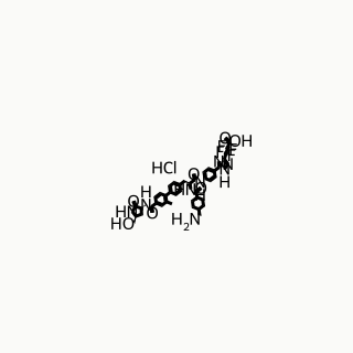 Cc1cc(C(=O)N[C@@H]2C[C@@H](CO)NC2=O)ccc1-c1ccc(C[C@H](NC(=O)C2CCC(CN)CC2)C(=O)Nc2ccc(-c3nc(C(F)(F)C(F)(F)C(=O)O)n[nH]3)cc2)cc1.Cl